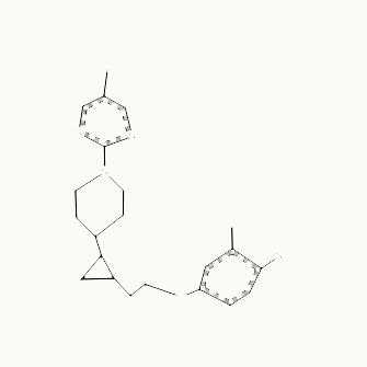 [C-]#[N+]c1ccc(OCCC2CC2C2CCN(c3ncc(Cl)cn3)CC2)cc1F